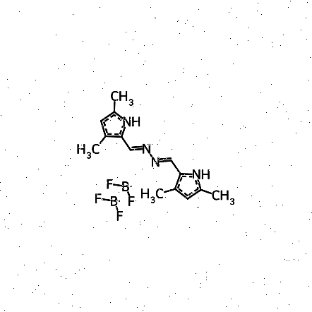 Cc1cc(C)c(C=NN=Cc2[nH]c(C)cc2C)[nH]1.F[B]F.F[B]F